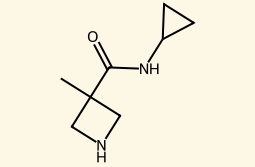 CC1(C(=O)NC2CC2)CNC1